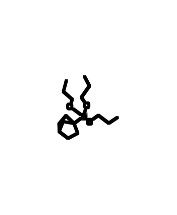 CCCO[Si](OCCC)(OCCC)C12CCC(CC1)C2